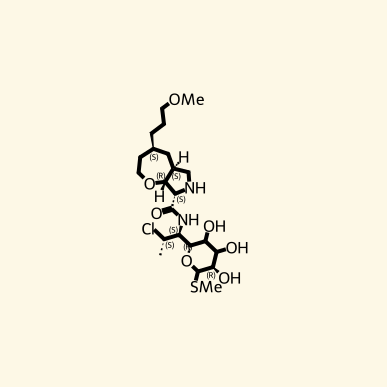 COCCC[C@@H]1CCO[C@@H]2[C@H](CN[C@@H]2C(=O)N[C@H]([C@H](C)Cl)[C@H]2OC(SC)[C@H](O)C(O)C2O)C1